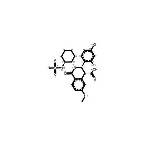 COc1ccc2c(c1)[C@@H](C(=O)O)[C@H](c1ccc(Cl)cc1Cl)N([C@H]1CCCC[C@@H]1NS(C)(=O)=O)C2=O